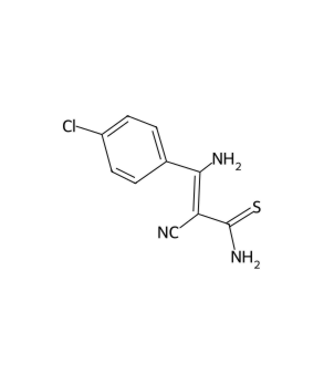 N#C/C(C(N)=S)=C(/N)c1ccc(Cl)cc1